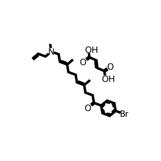 C=CCN(C)C/C=C(\C)CC/C=C(\C)CCC(=O)c1ccc(Br)cc1.O=C(O)/C=C/C(=O)O